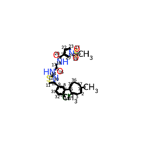 C/C1=C/C=C(Cl)\C(c2cc(-c3csc(NC(=O)CNC(=O)c4ccn(S(C)(=O)=O)c4)n3)ccc2C)=C/CC1